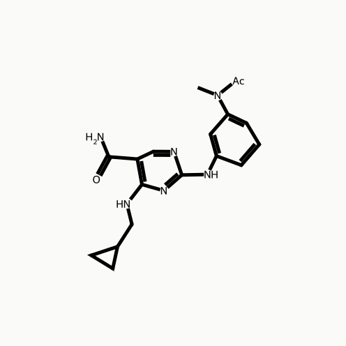 CC(=O)N(C)c1cccc(Nc2ncc(C(N)=O)c(NCC3CC3)n2)c1